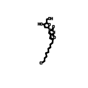 O=c1nc2oc(CCCCCCCCCCl)cc2cn1C1CC(O)C(CO)O1